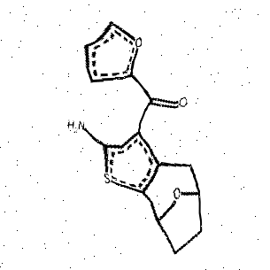 Nc1sc2c(c1C(=O)c1ccco1)CC1CCC2O1